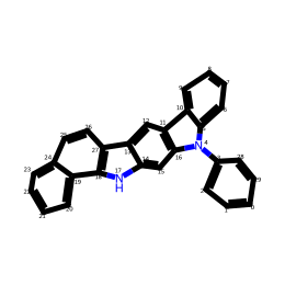 c1ccc(-n2c3ccccc3c3cc4c(cc32)[nH]c2c3ccccc3ccc42)cc1